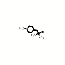 CN1CCC(=CC(C)(C)C(C)(C)C)CC1